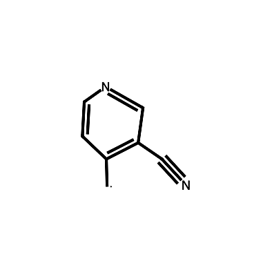 [CH2]c1ccncc1C#N